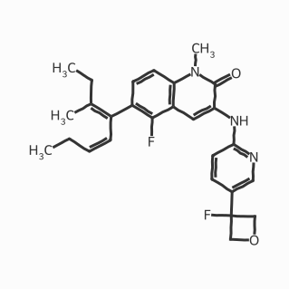 CC/C=C\C(=C(/C)CC)c1ccc2c(cc(Nc3ccc(C4(F)COC4)cn3)c(=O)n2C)c1F